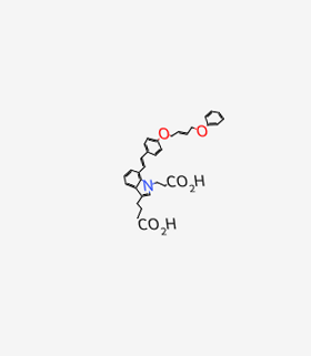 O=C(O)CCCc1cn(CCC(=O)O)c2c(C=Cc3ccc(OC/C=C/COc4ccccc4)cc3)cccc12